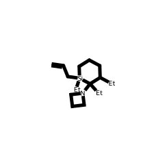 C=CC[Si]1(CC)CCCC(CC)C1(CC)N1CCC1